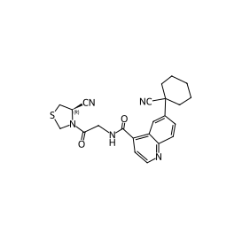 N#C[C@@H]1CSCN1C(=O)CNC(=O)c1ccnc2ccc(C3(C#N)CCCCC3)cc12